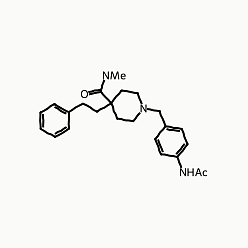 CNC(=O)C1(CCc2ccccc2)CCN(Cc2ccc(NC(C)=O)cc2)CC1